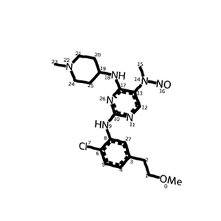 COCCc1ccc(Cl)c(Nc2ncc(N(C)N=O)c(NC3CCN(C)CC3)n2)c1